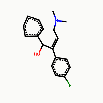 CN(C)CC=C(c1ccc(F)cc1)C(O)c1ccccc1